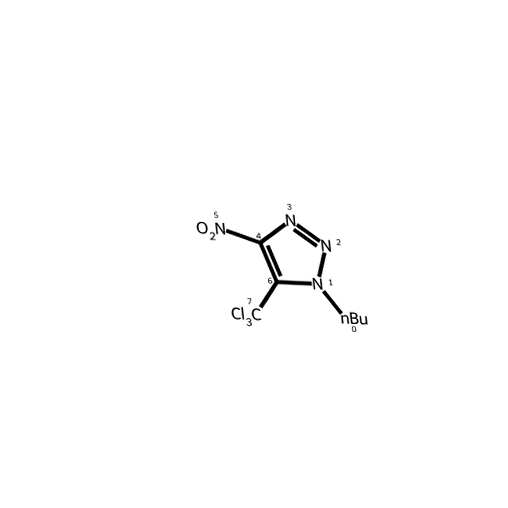 CCCCn1nnc([N+](=O)[O-])c1C(Cl)(Cl)Cl